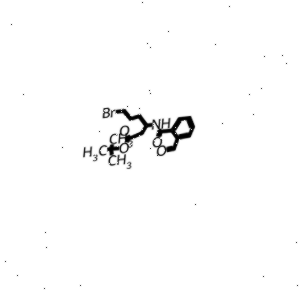 CC(C)(C)OC(=O)CC(CCCBr)NC(=O)c1ccccc1C=O